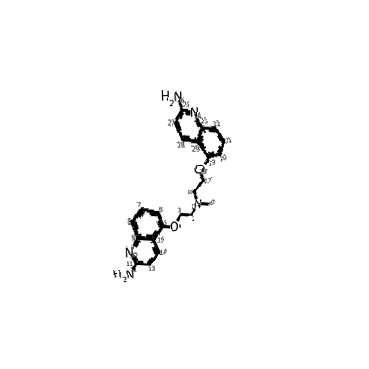 CN(CCOc1cccc2nc(N)ccc12)CCOc1cccc2nc(N)ccc12